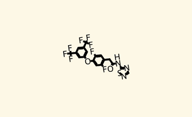 O=C(Cc1cc(F)c(Oc2cc(C(F)(F)F)cc(C(F)(F)F)c2)cc1F)Nc1ncns1